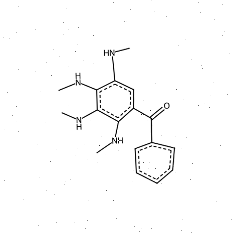 CNc1cc(C(=O)c2ccccc2)c(NC)c(NC)c1NC